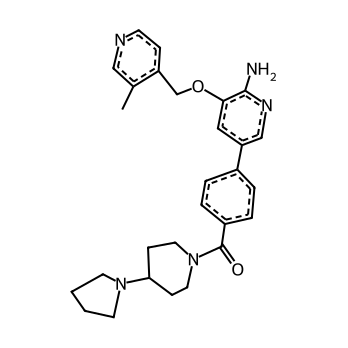 Cc1cnccc1COc1cc(-c2ccc(C(=O)N3CCC(N4CCCC4)CC3)cc2)cnc1N